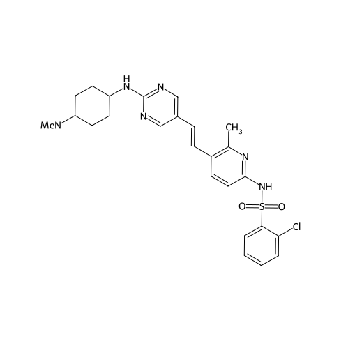 CNC1CCC(Nc2ncc(C=Cc3ccc(NS(=O)(=O)c4ccccc4Cl)nc3C)cn2)CC1